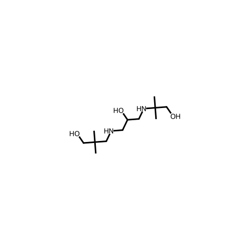 CC(C)(CO)CNCC(O)CNC(C)(C)CO